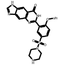 CCCOc1ccc(S(=O)(=O)N2CCNCC2)cc1-c1nc2cc3nc[nH]c3cc2c(=O)[nH]1